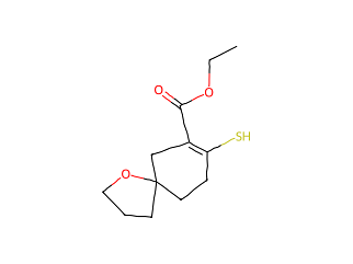 CCOC(=O)C1=C(S)CCC2(CCCO2)C1